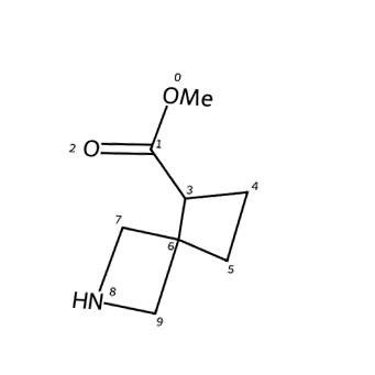 COC(=O)C1CCC12CNC2